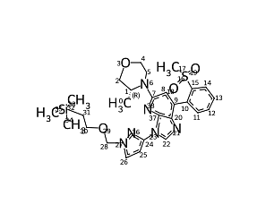 C[C@@H]1COCCN1c1cc(-c2ccccc2S(C)(=O)=O)c2ncn(-c3ccn(COCC[Si](C)(C)C)n3)c2n1